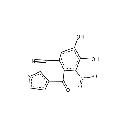 N#Cc1cc(O)c(O)c([N+](=O)[O-])c1C(=O)c1ccsc1